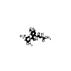 COc1ccc(NC(=O)CNC(C)=O)c(C(=O)N2C[C@H](C)C[C@H](C)C2)c1